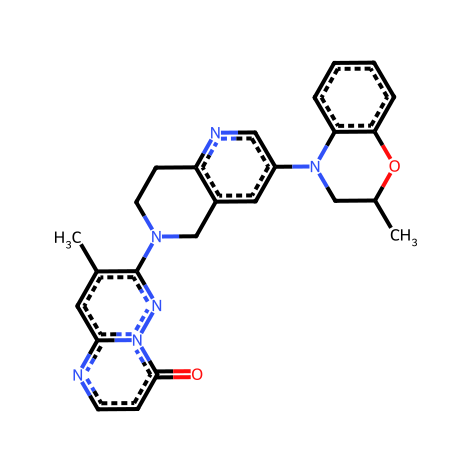 Cc1cc2nccc(=O)n2nc1N1CCc2ncc(N3CC(C)Oc4ccccc43)cc2C1